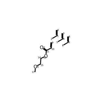 C=CC.C=CC.C=CC.C=CC(=O)OCCOC